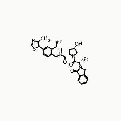 Cc1ncsc1-c1ccc(CNC(=O)[C@@H]2C[C@@H](O)CN2C(=O)[C@H](C(C)C)N2Cc3ccccc3C2=O)c(CC(C)C)c1